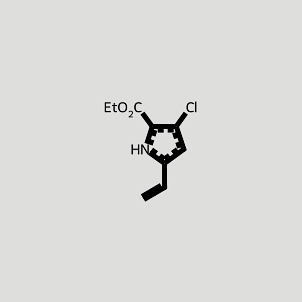 C=Cc1cc(Cl)c(C(=O)OCC)[nH]1